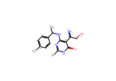 CCc1nc(NC(C)c2ccc(C(F)(F)F)cc2)c(C(=N)CO)c(=O)[nH]1